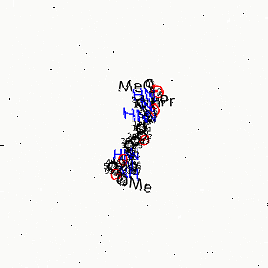 COC(=O)NC(C(=O)N1CCC[C@H]1c1ncc(-c2ccc3c(c2)COc2cc4c(cc2-3)CCc2[nH]c([C@@H]3CCCN3C(=O)[C@H](NC(=O)OC)c3ccccc3)nc2-4)[nH]1)C(C)C